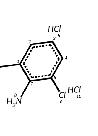 Cc1cccc(Cl)c1N.Cl.Cl